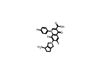 NC1CCC2=C1CN(c1c(F)cc3c(=O)c(C(=O)O)cn(-c4ccc(F)cc4)c3c1F)C2